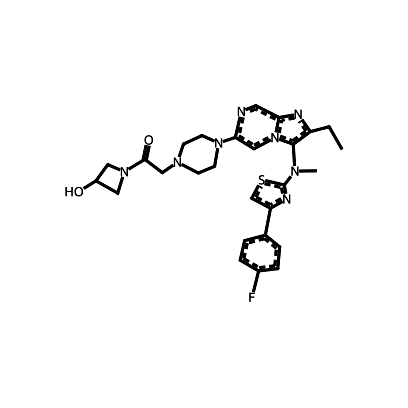 CCc1nc2cnc(N3CCN(CC(=O)N4CC(O)C4)CC3)cn2c1N(C)c1nc(-c2ccc(F)cc2)cs1